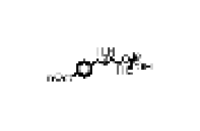 CCCCCCCCc1ccc(CCC(N)COP(=O)(O)O)cc1